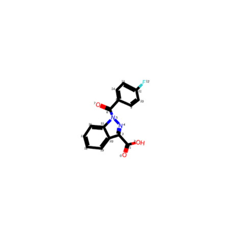 O=C(O)c1nn(C(=O)c2ccc(F)cc2)c2ccccc12